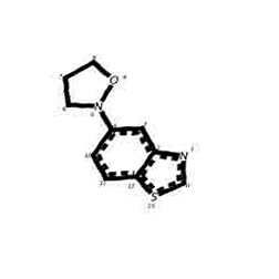 c1nc2cc(N3CCCO3)ccc2s1